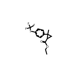 CCOC(=O)C1CC1(C)c1ccc(SC(F)(F)F)cc1